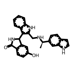 C[C@@H](NCc1[nH]c2ccccc2c1C1NC(=O)c2ccc(O)cc21)c1ccc2cc[nH]c2c1